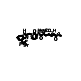 CC(C)C(F)(F)c1cccc2[nH]c(Cn3cccc(NC(=O)C(CCC=CC(=O)N(C)C)NC(=O)O)c3=O)nc12